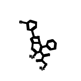 COC(=O)C(=O)c1c(C)nc2cc(-c3cccc(Cl)c3)nn2c1-c1ccccc1